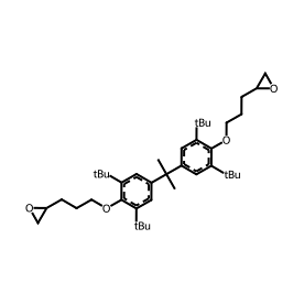 CC(C)(C)c1cc(C(C)(C)c2cc(C(C)(C)C)c(OCCCC3CO3)c(C(C)(C)C)c2)cc(C(C)(C)C)c1OCCCC1CO1